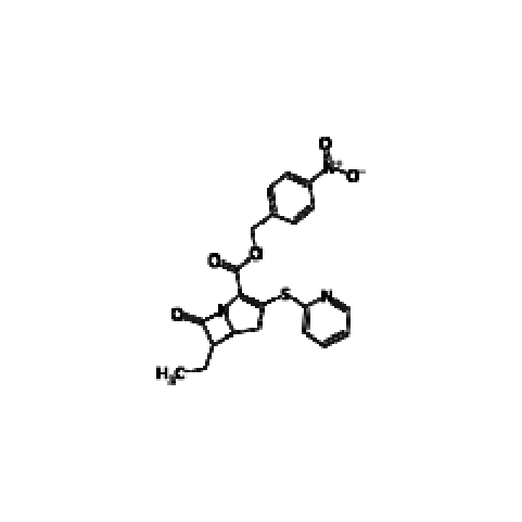 CCC1C(=O)N2C(C(=O)OCc3ccc([N+](=O)[O-])cc3)=C(Sc3ccccn3)CC12